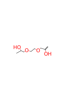 C=C(O)COCCOCC(C)O